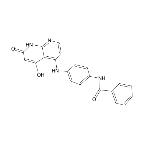 O=C(Nc1ccc(Nc2ccnc3[nH]c(=O)cc(O)c23)cc1)c1ccccc1